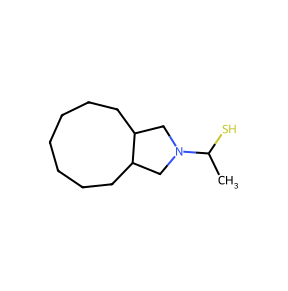 CC(S)N1CC2CCCCCCCC2C1